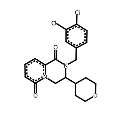 O=C1c2cccc(=O)n2CC(C2CCOCC2)N1Cc1ccc(Cl)c(Cl)c1